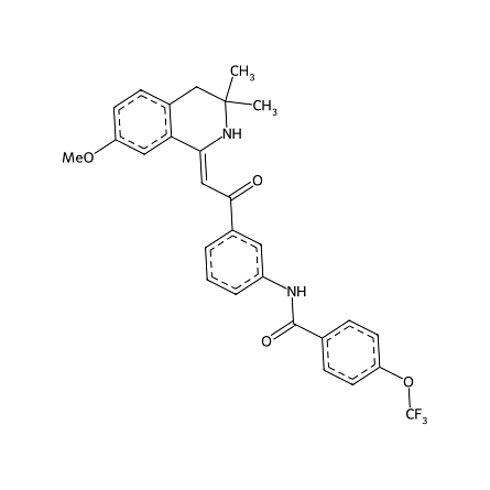 COc1ccc2c(c1)/C(=C/C(=O)c1cccc(NC(=O)c3ccc(OC(F)(F)F)cc3)c1)NC(C)(C)C2